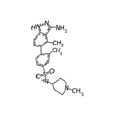 Cc1cc(S(=O)(=O)NC2CCN(C)CC2)ccc1-c1ccc2[nH]nc(N)c2c1C